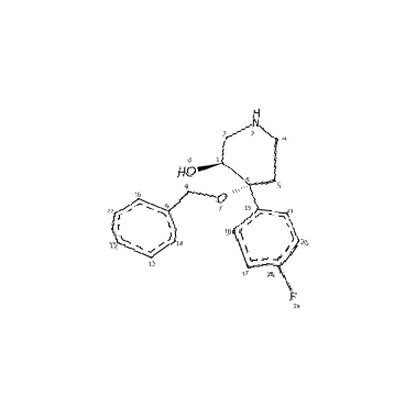 O[C@H]1CNCC[C@@]1(OCc1ccccc1)c1ccc(F)cc1